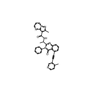 Cc1ccncc1C#Cc1cccc2nc(C(C)NC(=O)c3c(C)nn4cccnc34)n(-c3ccccc3)c(=O)c12